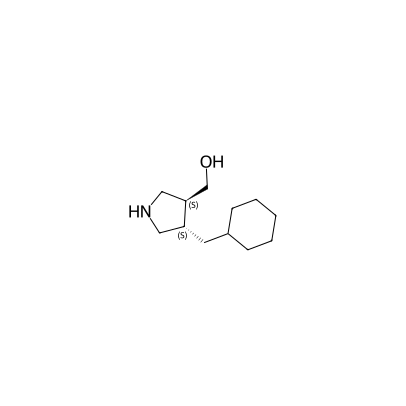 OC[C@@H]1CNC[C@H]1CC1CCCCC1